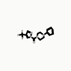 O=C(N1CCN(c2ccccc2)CC1)n1cc(C(F)(F)F)cn1